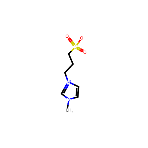 Cn1cc[n+](CCCS(=O)(=O)[O-])c1